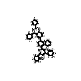 c1ccc(-c2nc(-c3ccccc3)c3cc(-c4ccc(-c5nc6c7ccccc7oc6c6c7ccccc7n(-c7ccccc7)c56)cc4)ccc3n2)cc1